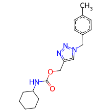 Cc1ccc(Cn2cc(COC(=O)NC3CCCCC3)nn2)cc1